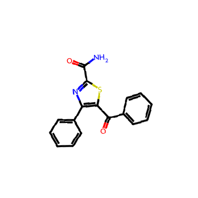 NC(=O)c1nc(-c2ccccc2)c(C(=O)c2ccccc2)s1